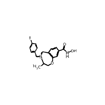 CC1COc2cc(C(=O)NO)ccc2CN1Cc1ccc(F)cc1